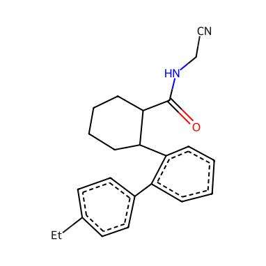 CCc1ccc(-c2ccccc2C2CCCCC2C(=O)NCC#N)cc1